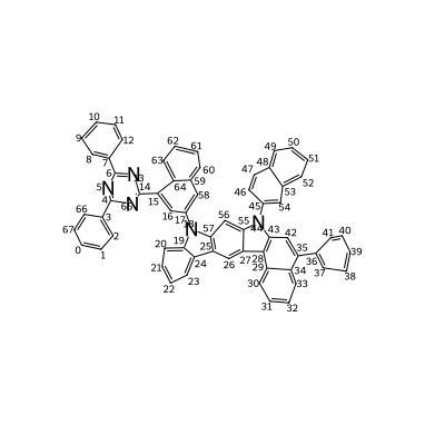 c1ccc(-c2nc(-c3ccccc3)nc(-c3cc(-n4c5ccccc5c5cc6c7c8ccccc8c(-c8ccccc8)cc7n(-c7ccc8ccccc8c7)c6cc54)cc4ccccc34)n2)cc1